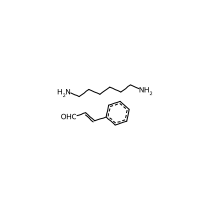 NCCCCCCN.O=CC=Cc1ccccc1